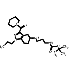 CCCn1nc(C(=O)N2CCCCC2)c2c1CCC(NCCCNC(=O)OC(C)(C)C)C2